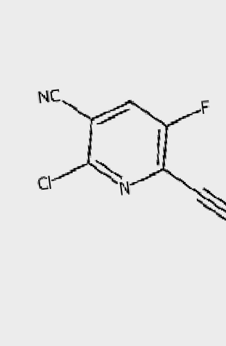 C#Cc1nc(Cl)c(C#N)cc1F